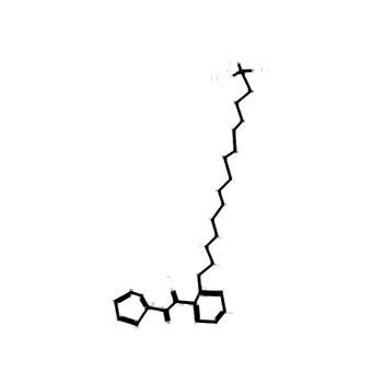 CC(C)(C=O)CCCCCCCCCCCCCCc1ccccc1C(=O)C(=O)c1ccccc1